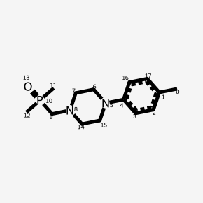 Cc1ccc(N2CCN(CP(C)(C)=O)CC2)cc1